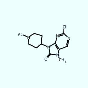 CC(=O)N1CCC(n2c(=O)n(C)c3cnc(Cl)nc32)CC1